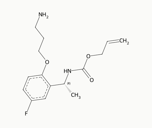 C=CCOC(=O)N[C@H](C)c1cc(F)ccc1OCCCN